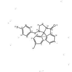 Cc1ccc(C23c4ccccc4C(=O)N2CCN3Cc2ccc(F)cc2)cc1